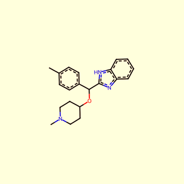 Cc1ccc(C(OC2CCN(C)CC2)c2nc3ccccc3[nH]2)cc1